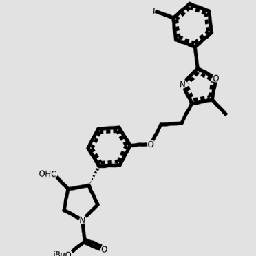 Cc1oc(-c2cccc(I)c2)nc1CCOc1cccc([C@@H]2CN(C(=O)OCC(C)C)CC2C=O)c1